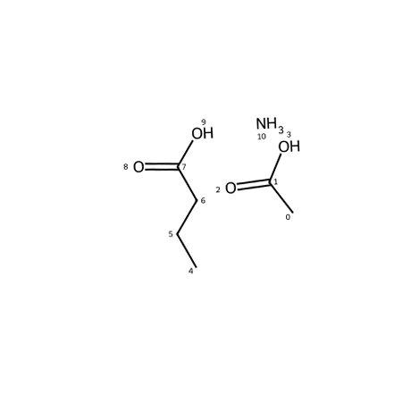 CC(=O)O.CCCC(=O)O.N